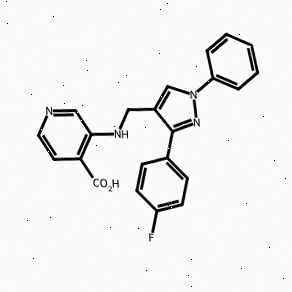 O=C(O)c1ccncc1NCc1cn(-c2ccccc2)nc1-c1ccc(F)cc1